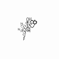 CC[C@H](C)[C@H](NC(=O)COCCF)C(=O)N[C@H]1CCc2cccc3c2N(C1=O)[C@H](C(=O)O)C3